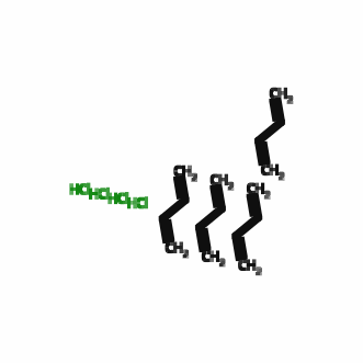 C=CC=C.C=CC=C.C=CC=C.C=CC=C.Cl.Cl.Cl.Cl